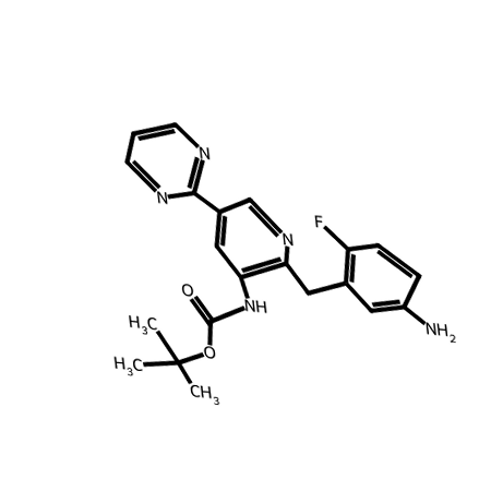 CC(C)(C)OC(=O)Nc1cc(-c2ncccn2)cnc1Cc1cc(N)ccc1F